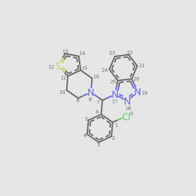 Clc1ccccc1C(N1CCc2sccc2C1)n1nnc2ccccc21